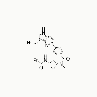 CCC(=O)N[C@H]1CC[C@@H](N(C)C(=O)c2ccc(-c3ccc4[nH]cc(CC#N)c4n3)cc2)C1